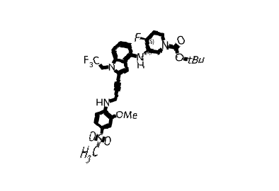 COc1cc(S(C)(=O)=O)ccc1NCC#Cc1cc2c(N[C@@H]3CN(C(=O)OC(C)(C)C)CC[C@@H]3F)cccc2n1CC(F)(F)F